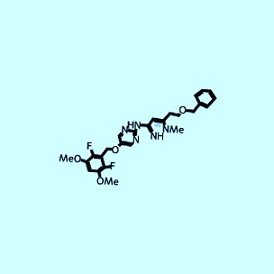 CN/C(=C\C(=N)Nc1ncc(OCc2c(F)c(OC)cc(OC)c2F)cn1)CCOCc1ccccc1